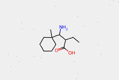 CCC(C(=O)O)C(N)C1(C)CCCCC1